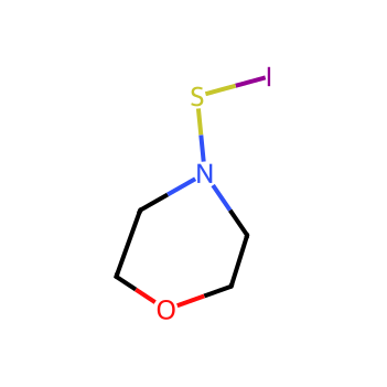 ISN1CCOCC1